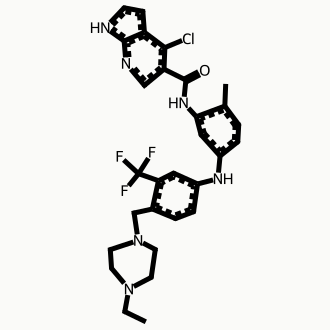 CCN1CCN(Cc2ccc(Nc3ccc(C)c(NC(=O)c4cnc5[nH]ccc5c4Cl)c3)cc2C(F)(F)F)CC1